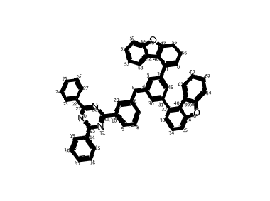 C1=C(c2cc(Cc3cccc(-c4nc(-c5ccccc5)nc(-c5ccccc5)n4)c3)cc(-c3cccc4oc5c(c34)=CCCC=5)c2)c2c(oc3ccccc23)CC1